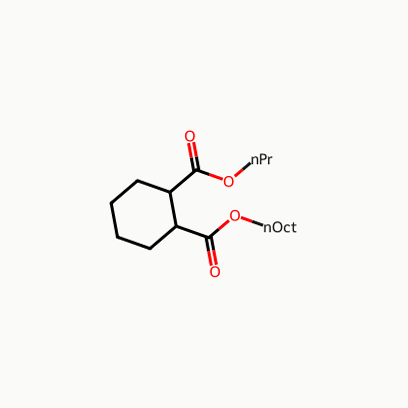 CCCCCCCCOC(=O)C1CCCCC1C(=O)OCCC